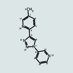 Cc1ccc(-c2cn(-c3cccnc3)nn2)nc1